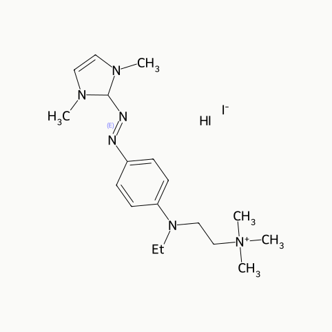 CCN(CC[N+](C)(C)C)c1ccc(/N=N/C2N(C)C=CN2C)cc1.I.[I-]